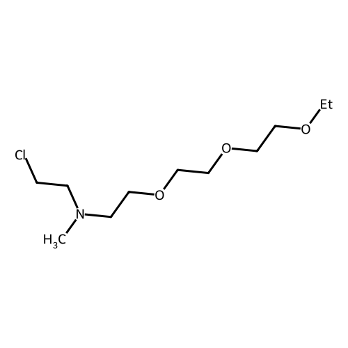 CCOCCOCCOCCN(C)CCCl